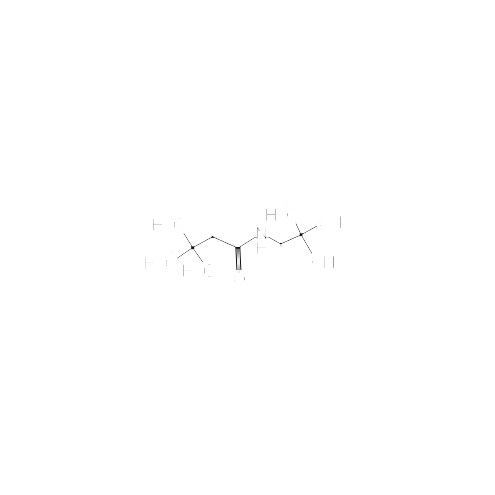 CC(C)(C)CNC(=O)CC(C)(C)C